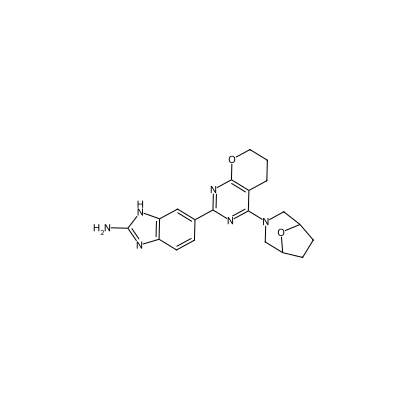 Nc1nc2ccc(-c3nc4c(c(N5CC6CCC(C5)O6)n3)CCCO4)cc2[nH]1